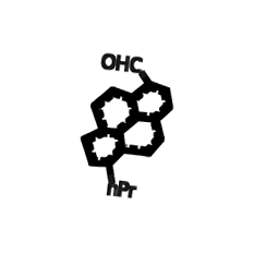 CCCc1ccc2ccc3c(C=O)ccc4ccc1c2c43